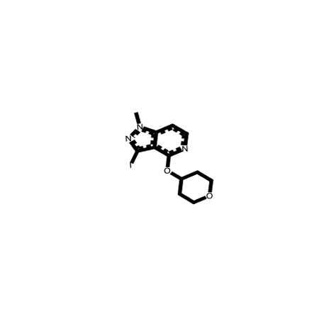 Cn1nc(I)c2c(OC3CCOCC3)nccc21